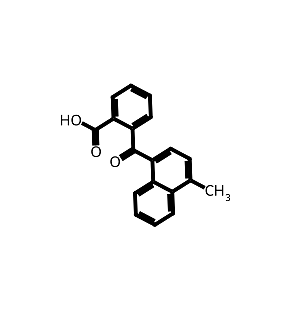 Cc1ccc(C(=O)c2ccccc2C(=O)O)c2ccccc12